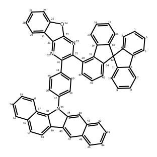 c1ccc2c(c1)-c1ccccc1C21c2ccccc2-c2c(-c3nc4oc5ccccc5c4nc3-c3ccc(-n4c5cc6ccccc6cc5c5ccc6ccccc6c54)cc3)cccc21